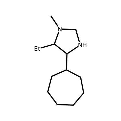 CCC1C(C2CCCCCC2)NCN1C